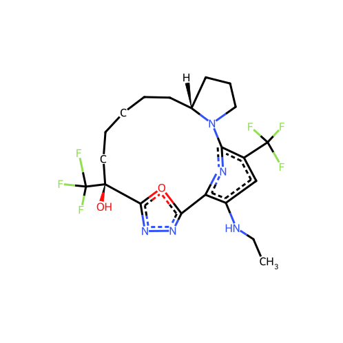 CCNc1cc(C(F)(F)F)c2nc1-c1nnc(o1)[C@](O)(C(F)(F)F)CCCCC[C@@H]1CCCN21